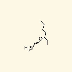 CCCCC(CC)OC=C[SiH3]